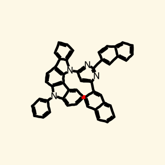 c1ccc(-n2c3ccccc3c3c2ccc2c4ccccc4n(-c4cc(-c5ccc6ccccc6c5)nc(-c5ccc6ccccc6c5)n4)c23)cc1